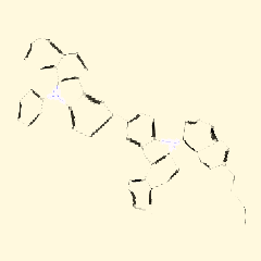 CCCCc1ccc2c(-n3c4ccc(-c5ccc6c(c5)c5ccc7ccccc7c5n6-c5ccccc5)cc4c4c5ccccc5ccc43)cccc2c1